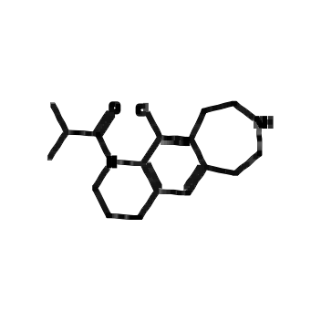 CC(C)C(=O)N1CCCc2cc3c(c(Cl)c21)CCNCC3